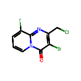 O=c1c(Br)c(CCl)nc2c(F)cccn12